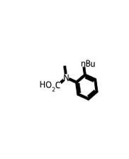 CCCCc1ccccc1N(C)C(=O)O